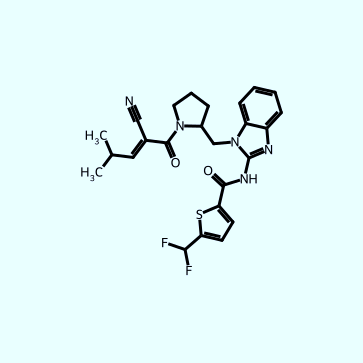 CC(C)C=C(C#N)C(=O)N1CCCC1Cn1c(NC(=O)c2ccc(C(F)F)s2)nc2ccccc21